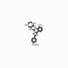 COc1ccc(-c2nc3c4cccc(C)c4nc(N[C@H]4CNCCNC4=O)n3n2)cc1